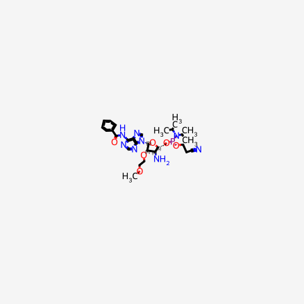 COCCO[C@@H]1[C@H](N)[C@@H](COP(OCCC#N)N(C(C)C)C(C)C)O[C@H]1n1cnc2c(NC(=O)c3ccccc3)ncnc21